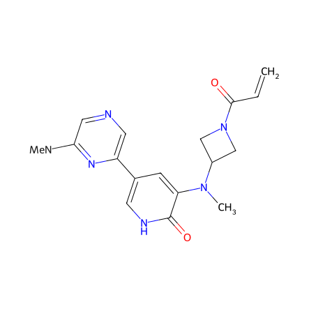 C=CC(=O)N1CC(N(C)c2cc(-c3cncc(NC)n3)c[nH]c2=O)C1